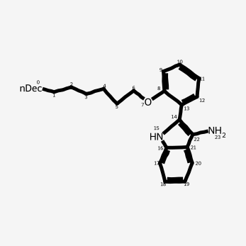 CCCCCCCCCCCCCCCCOc1ccccc1-c1[nH]c2ccccc2c1N